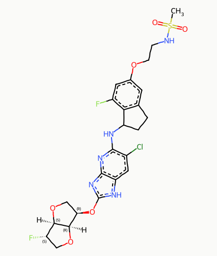 CS(=O)(=O)NCCOc1cc(F)c2c(c1)CCC2Nc1nc2nc(O[C@@H]3CO[C@H]4[C@@H]3OC[C@@H]4F)[nH]c2cc1Cl